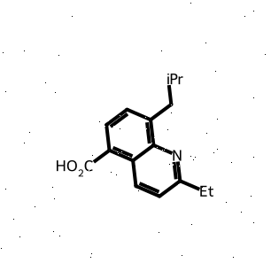 CCc1ccc2c(C(=O)O)ccc(CC(C)C)c2n1